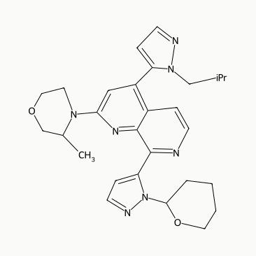 CC(C)Cn1nccc1-c1cc(N2CCOCC2C)nc2c(-c3ccnn3C3CCCCO3)nccc12